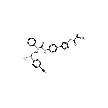 CNC(=O)Cn1cc(-c2ccc(NC(=O)[C@H](NC[C@@H](C)c3ccc(C#N)cc3)c3ccccc3)nc2)cn1